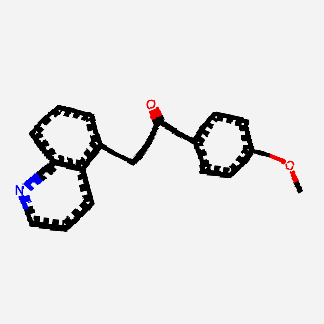 COc1ccc(C(=O)Cc2cccc3ncccc23)cc1